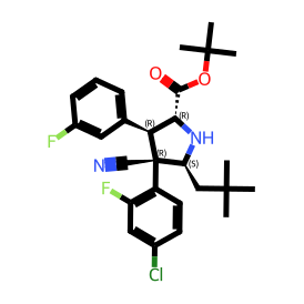 CC(C)(C)C[C@@H]1N[C@@H](C(=O)OC(C)(C)C)[C@H](c2cccc(F)c2)[C@@]1(C#N)c1ccc(Cl)cc1F